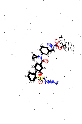 CC(C)(C)OC(=O)n1cc2c(n1)CCC(N(C(=O)c1ccc(-c3ccccc3S(=O)(=O)CN=[N+]=[N-])cc1)C1CC1)C2